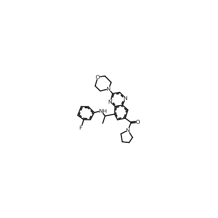 CC(Nc1cccc(F)c1)c1cc(C(=O)N2CCCC2)cc2ncc(N3CCOCC3)nc12